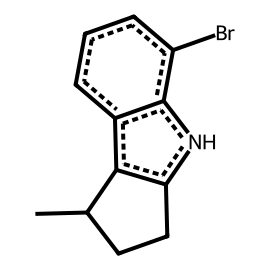 CC1CCc2[nH]c3c(Br)cccc3c21